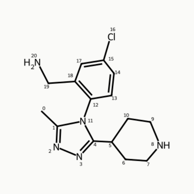 Cc1nnc(C2CCNCC2)n1-c1ccc(Cl)cc1CN